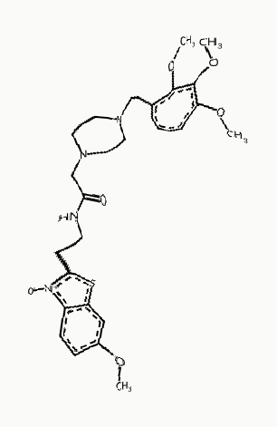 COc1ccc2c(c1)sc(CCNC(=O)CN1CCN(Cc3ccc(OC)c(OC)c3OC)CC1)[n+]2[O-]